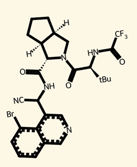 CC(C)(C)[C@H](NC(=O)C(F)(F)F)C(=O)N1C[C@@H]2CCC[C@@H]2[C@H]1C(=O)NC(C#N)c1cncc2cccc(Br)c12